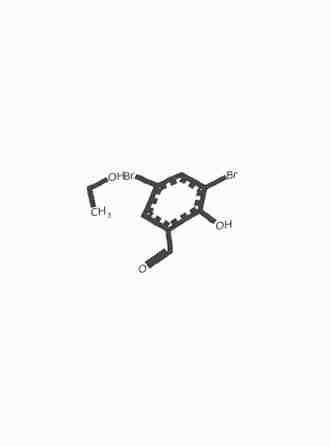 CCO.O=Cc1cc(Br)cc(Br)c1O